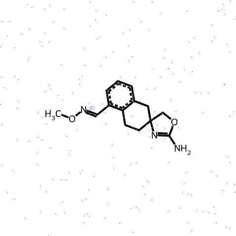 CO/N=C/c1cccc2c1CCC1(COC(N)=N1)C2